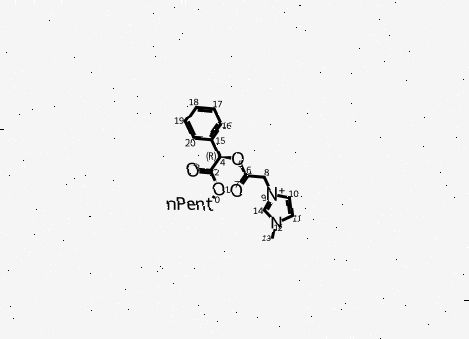 CCCCCOC(=O)[C@H](OC(=O)C[n+]1ccn(C)c1)c1ccccc1